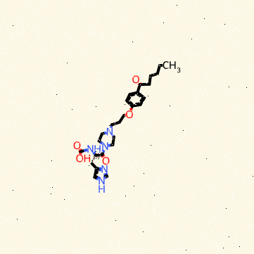 CCCCCC(=O)c1ccc(OCCCN2CCN(C(=O)[C@H](Cc3c[nH]cn3)NC(=O)O)CC2)cc1